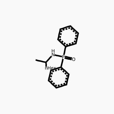 CCCCCCC(C)NP(=O)(c1ccccc1)c1ccccc1